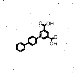 O=C(O)c1cc(C(=O)O)cc(-c2ccc(-c3ccccc3)cc2)c1